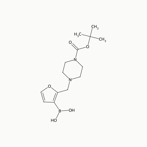 CC(C)(C)OC(=O)N1CCN(Cc2occc2B(O)O)CC1